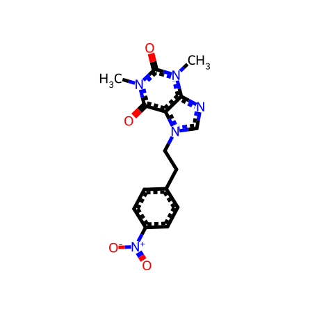 Cn1c(=O)c2c(ncn2CCc2ccc([N+](=O)[O-])cc2)n(C)c1=O